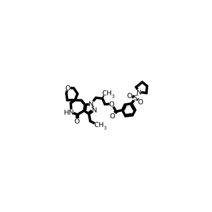 CCc1nn(C[C@@H](C)COC(=O)c2cccc(S(=O)(=O)N3CCCC3)c2)c2c1C(=O)NCC1(CCOCC1)C2